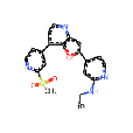 CC(C)(C)CNc1cc(-c2cc3nccc(-c4ccnc(S(C)(=O)=O)c4)c3o2)ccn1